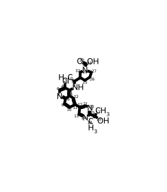 C[C@H](Nc1c(Cl)cnc2ccc(-c3cnc(C(C)(C)O)nc3)cc12)C1CCCN(C(=O)O)C1